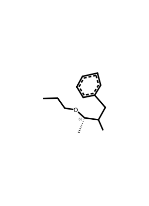 CCCO[C@@H](C)C(C)Cc1ccccc1